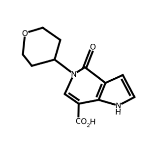 O=C(O)c1cn(C2CCOCC2)c(=O)c2cc[nH]c12